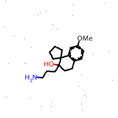 COc1ccc2c(c1)C1(CCCC1)C(O)(CCCN)CC2